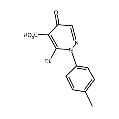 CCc1c(C(=O)O)c(=O)cnn1-c1ccc(C)cc1